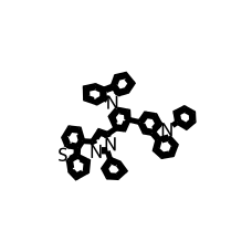 c1ccc(-c2nc(-c3cc(-c4ccc5c(c4)c4ccccc4n5-c4ccccc4)cc(-n4c5ccccc5c5ccccc54)c3)cc(-c3cccc4sc5ccccc5c34)n2)cc1